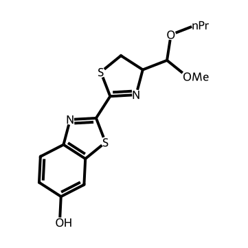 CCCOC(OC)C1CSC(c2nc3ccc(O)cc3s2)=N1